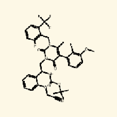 COc1cccc(-c2c(C)n(Cc3c(F)cccc3C(F)(F)F)c(=O)n(CC(NC(=O)OC(C)(C)C)c3ccccc3OCC#N)c2=O)c1F